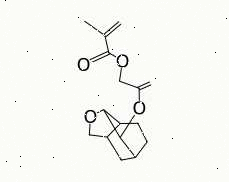 C=C(COC(=O)C(=C)C)OC1C2CCC3C(COC31)C2